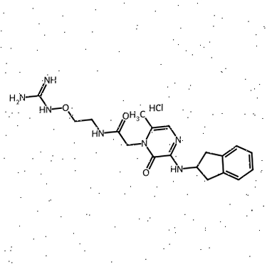 Cc1cnc(NC2Cc3ccccc3C2)c(=O)n1CC(=O)NCCONC(=N)N.Cl